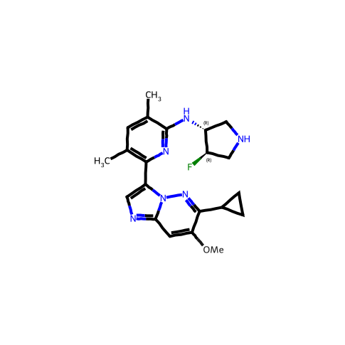 COc1cc2ncc(-c3nc(N[C@@H]4CNC[C@H]4F)c(C)cc3C)n2nc1C1CC1